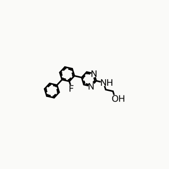 OCCNc1ncc(-c2cccc(-c3ccccc3)c2F)cn1